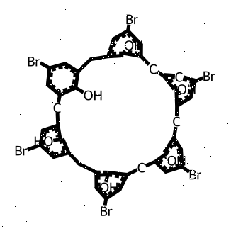 Oc1c2cc(Br)cc1Cc1cc(Br)cc(c1O)Cc1cc(Br)cc(c1O)Cc1cc(Br)cc(c1O)Cc1cc(Br)cc(c1O)Cc1cc(Br)cc(c1O)C2